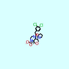 COC(=O)N1CCN(C(=O)Cc2ccc(Cl)c(Cl)c2)[C@H]2[C@H]1COC[C@@H]2N1CCCC1